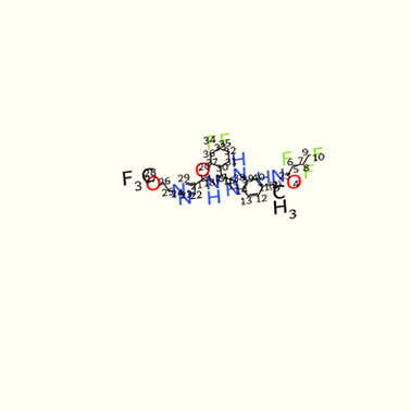 C[C@@H](NC(=O)C(F)C(F)CF)c1ccc2nc([C@@H](NC(=O)c3cnn(CCOC(F)(F)F)c3)C3CCC(F)(F)CC3)[nH]c2c1